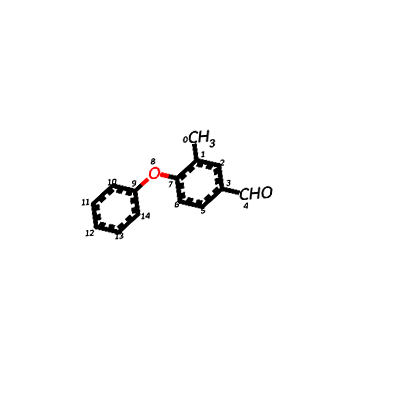 Cc1cc(C=O)ccc1Oc1ccccc1